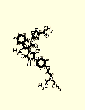 CCN(CC)CCOc1ccc([C@H]2NC(=O)N([C@H](C(=O)Nc3nc(C(C)=O)cs3)[C@@H](C)c3ccccc3)C2=O)cc1